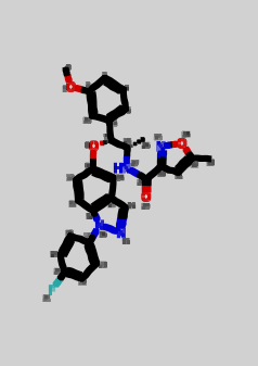 COc1cccc([C@@H](Oc2ccc3c(cnn3-c3ccc(F)cc3)c2)[C@H](C)NC(=O)c2cc(C)on2)c1